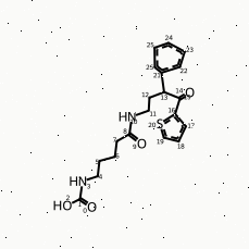 O=C(O)NCCCCC(=O)NCCC(C(=O)c1cccs1)c1ccccc1